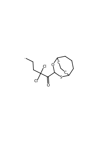 [CH2]CCC(Cl)(Cl)C(=O)[C]1OC2CCCC(CCC2)S1